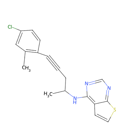 Cc1cc(Cl)ccc1C#CCC(C)Nc1ncnc2sccc12